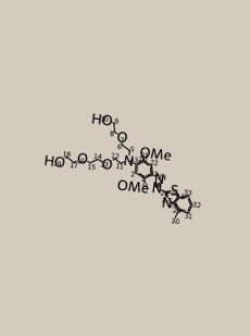 COc1cc(N(CCOCCO)CCOCCOCCO)c(OC)cc1/N=N/c1nc2c(C)cccc2s1